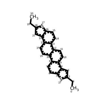 CCc1cc2c(ccc3c2ccc2c4ccc5sc(CC)cc5c4ccc32)s1